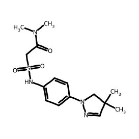 CN(C)C(=O)CS(=O)(=O)Nc1ccc(N2CC(C)(C)C=N2)cc1